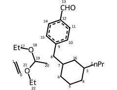 C=C.CCCC1CCCC(Cc2ccc(C=O)cc2)C1.CCOC(C)OCC